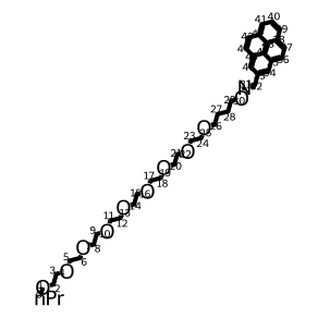 CCCOCCOCCOCCOCCOCCOCCOCCOCCOCCCCO/N=C/c1cc2ccc3cccc4ccc(c1)c2c34